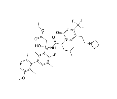 CCOC(=O)C[C@@](O)(NC(=O)C(CC(C)C)n1cc(CCN2CCC2)c(C(F)(F)F)cc1=O)c1c(F)c(C)cc(-c2c(C)ccc(OC)c2C)c1F